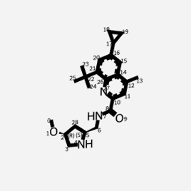 CO[C@H]1CN[C@H](CNC(=O)c2cc(C)c3cc(C4CC4)cc(C(C)(C)C)c3n2)C1